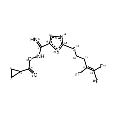 N=C(NOC(=O)C1CC1)c1cnc(SCCC(F)=C(F)F)s1